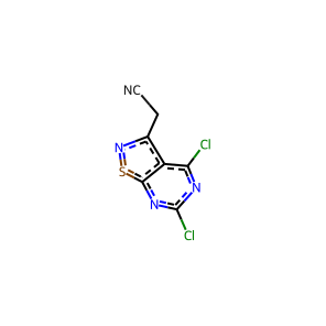 N#CCc1nsc2nc(Cl)nc(Cl)c12